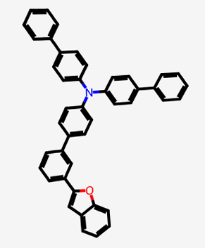 c1ccc(-c2ccc(N(c3ccc(-c4ccccc4)cc3)c3ccc(-c4cccc(-c5cc6ccccc6o5)c4)cc3)cc2)cc1